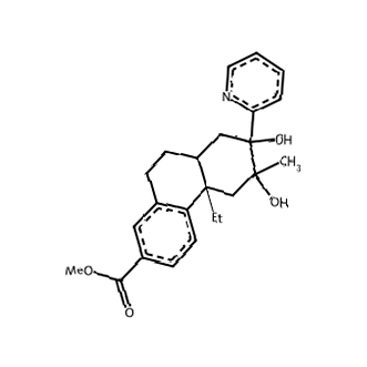 CCC12CC(C)(O)C(O)(c3ccccn3)CC1CCc1cc(C(=O)OC)ccc12